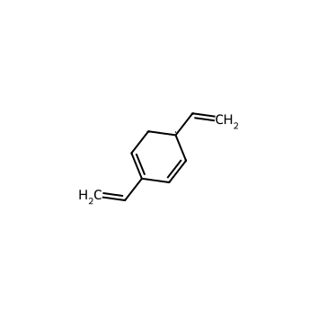 C=C[C]1C=CC(C=C)=CC1